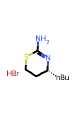 Br.CCCC[C@@H]1CCSC(N)=N1